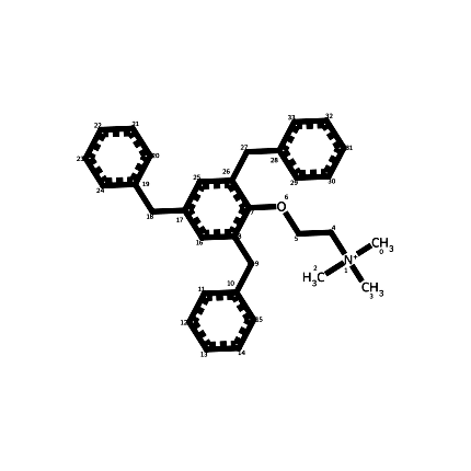 C[N+](C)(C)CCOc1c(Cc2ccccc2)cc(Cc2ccccc2)cc1Cc1ccccc1